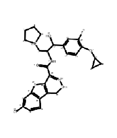 O=C(NC(CN1CCCC1)C(O)c1ccc(OC2CC2)c(F)c1)C1=NOCc2c1sc1cc(Cl)ccc21